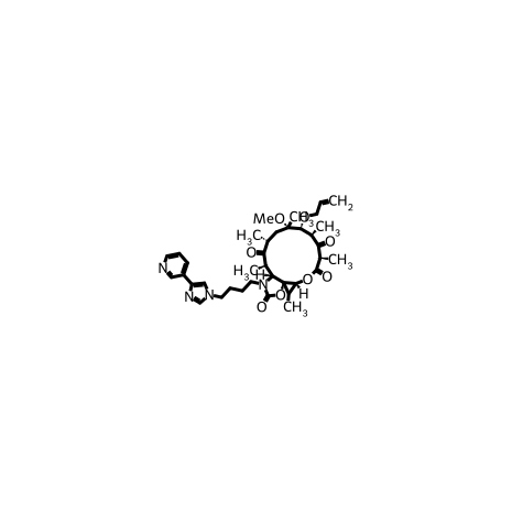 C=CCO[C@@H]1[C@@H](C)C(=O)[C@@H](C)C(=O)O[C@@H]2C(C)[C@@]23OC(=O)N(CCCCn2cnc(-c4cccnc4)c2)[C@@H]3[C@@H](C)C(=O)[C@H](C)C[C@]1(C)OC